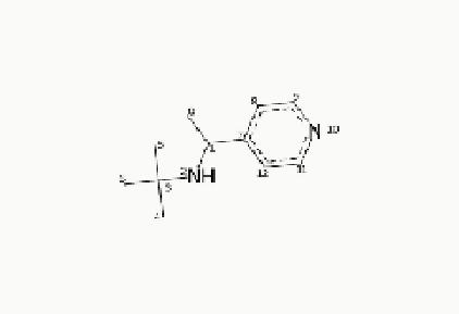 CC(NC(C)(C)C)c1ccncc1